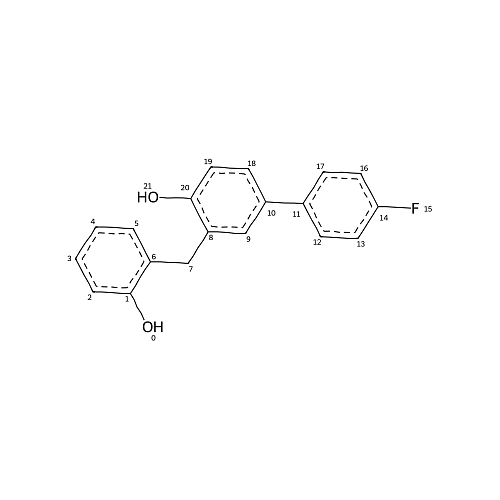 Oc1ccccc1Cc1cc(-c2ccc(F)cc2)ccc1O